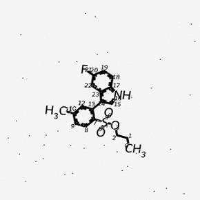 CCCOS(=O)(=O)c1ccc(C)cc1-c1c[nH]c2ccc(F)cc12